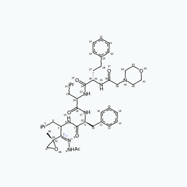 CC(=O)N/N=C(/C(CC(C)C)NC(=O)[C@H](Cc1ccccc1)NC(=O)C(CC(C)C)NC(=O)[C@H](CCc1ccccc1)NC(=O)CN1CCOCC1)[C@@]1(C)CO1